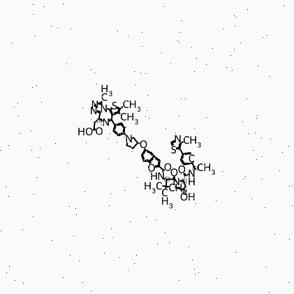 Cc1ncsc1-c1ccc([C@H](C)NC(=O)[C@@H]2C[C@@H](O)CN2C(=O)[C@@H](NC(=O)c2cc3cc(OC4CCN(c5ccc(C6=N[C@@H](CC(=O)O)c7nnc(C)n7-c7sc(C)c(C)c76)cc5)C4)ccc3o2)C(C)(C)C)cc1